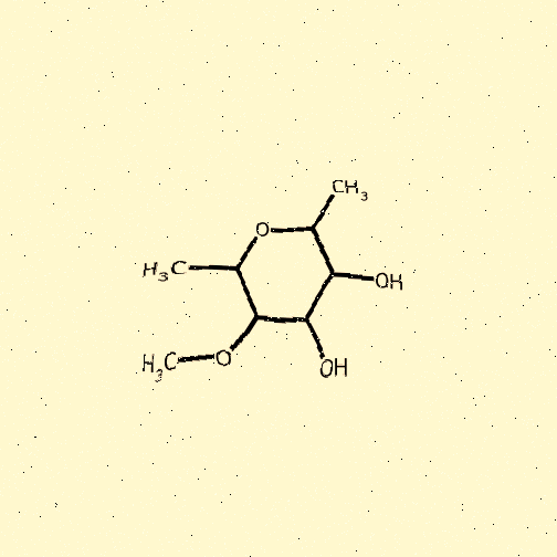 COC1C(C)OC(C)C(O)C1O